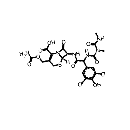 CNC(=O)N(C)C(=O)NC(C(=O)NC1C(=O)N2C(C(=O)O)=C(COC(N)=O)CS[C@@H]12)c1cc(Cl)c(O)c(Cl)c1